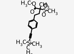 COC(=O)C(C)(CCc1ccc(C#C[Si](C)(C)C)cc1)S(C)(=O)=O